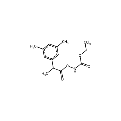 Cc1cc(C)cc(C(C)C(=O)ONC(=O)OCC(Cl)(Cl)Cl)c1